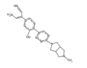 CN1CC2CN(c3ccc(-c4ccc(/C(C=N)=C/N)cc4O)nn3)CC2C1